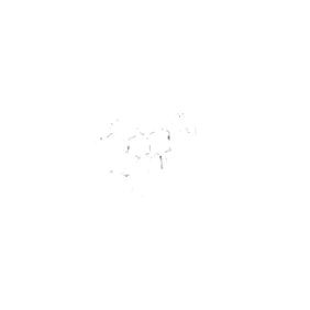 CC(=O)Oc1cc(C(=O)O)cc2oc(C(C)C)cc(=O)c12